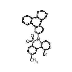 Cc1ccc2c(c1)-c1c(Br)cccc1N(c1ccc3c4ccccc4c4ccccc4c3c1)S2(=O)=O